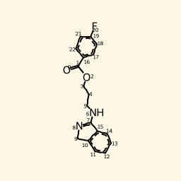 O=C(OCCCNC1=NCc2ccccc21)c1ccc(F)cc1